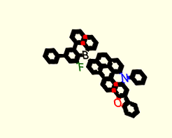 Fc1cc(-c2ccccc2)cc(-c2ccccc2)c1B(c1ccccc1)c1ccc2c3ccccc3c3c(N(c4ccccc4)c4ccc5oc6ccccc6c5c4)ccc4ccc1c2c43